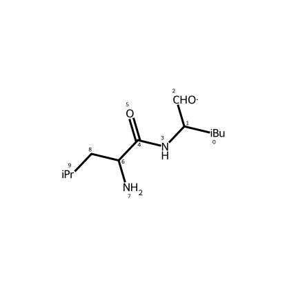 CCC(C)C([C]=O)NC(=O)C(N)CC(C)C